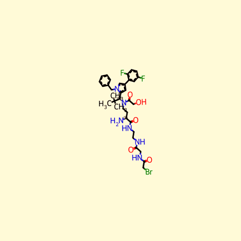 CC(C)(C)[C@H](c1cc(-c2cc(F)ccc2F)cn1Cc1ccccc1)N(CC[C@H](N)C(=O)NCCNC(=O)CNC(=O)CBr)C(=O)CO